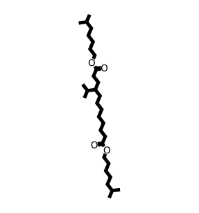 CC(C)CCCCCOC(=O)CCCCCCCC(CCC(=O)OCCCCCC(C)C)C(C)C